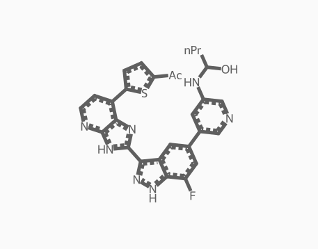 CCCC(O)Nc1cncc(-c2cc(F)c3[nH]nc(-c4nc5c(-c6ccc(C(C)=O)s6)ccnc5[nH]4)c3c2)c1